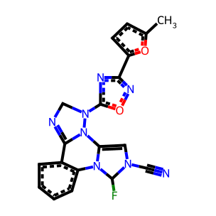 Cc1ccc(-c2noc(N3CN=C4c5ccccc5N5C(=CN(C#N)C5F)N43)n2)o1